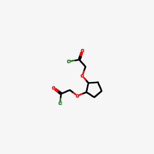 O=C(Cl)COC1CCCC1OCC(=O)Cl